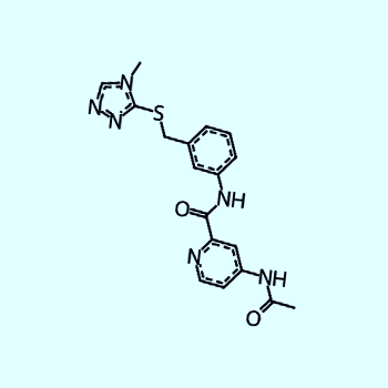 CC(=O)Nc1ccnc(C(=O)Nc2cccc(CSc3nncn3C)c2)c1